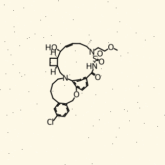 COCCN1[C@@H](C)C/C=C\[C@H](O)[C@@H]2CC[C@H]2CN2CCCCc3cc(Cl)ccc3COc3ccc(cc32)C(=O)NS1(=O)=O